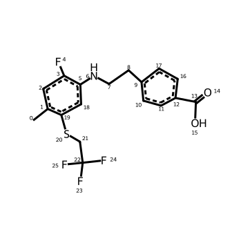 Cc1cc(F)c(NCCc2ccc(C(=O)O)cc2)cc1SCC(F)(F)F